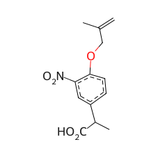 C=C(C)COc1ccc(C(C)C(=O)O)cc1[N+](=O)[O-]